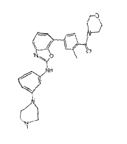 Cc1cc(-c2cccc3nc(Nc4cccc(N5CCN(C)CC5)c4)oc23)ccc1C(=O)N1CCOCC1